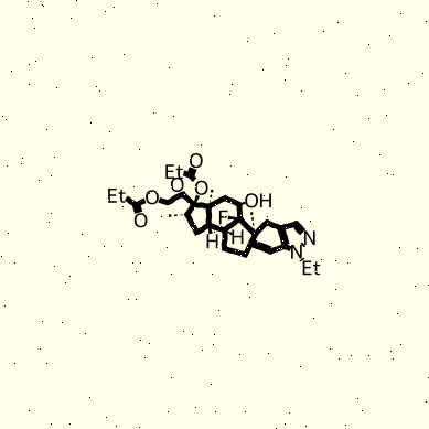 CCC(=O)OCC(=O)[C@@]1(OC(=O)CC)[C@@H](C)C[C@H]2[C@@H]3CCC4=Cc5c(cnn5CC)C[C@]4(C)[C@@]3(F)[C@@H](O)C[C@@]21C